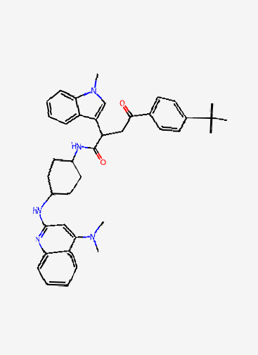 CN(C)c1cc(NC2CCC(NC(=O)C(CC(=O)c3ccc(C(C)(C)C)cc3)c3cn(C)c4ccccc34)CC2)nc2ccccc12